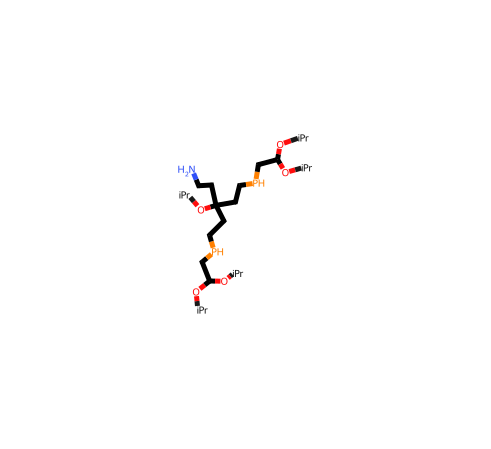 CC(C)OC(CPCCC(CCN)(CCPCC(OC(C)C)OC(C)C)OC(C)C)OC(C)C